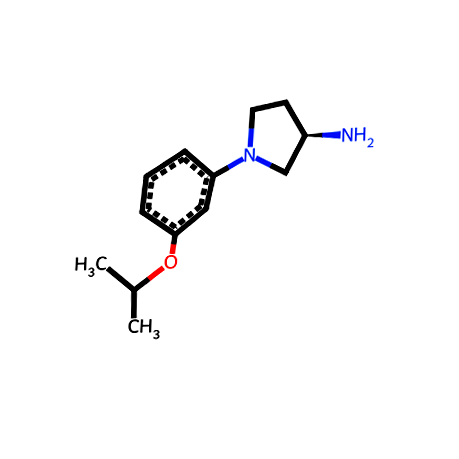 CC(C)Oc1cccc(N2CC[C@@H](N)C2)c1